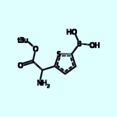 CC(C)(C)OC(=O)C(N)c1ccc(B(O)O)s1